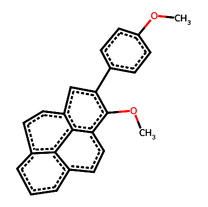 COc1ccc(-c2cc3ccc4cccc5ccc(c2OC)c3c45)cc1